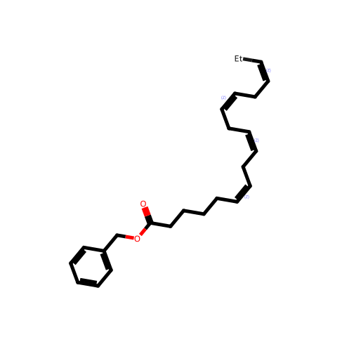 CC/C=C\C/C=C\C/C=C\C/C=C\CCCCC(=O)OCc1ccccc1